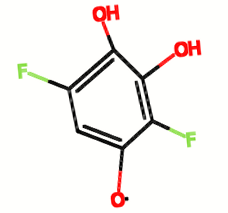 [O]c1cc(F)c(O)c(O)c1F